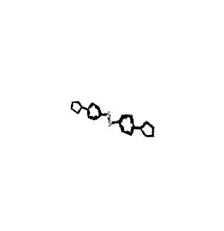 c1cc(C2CCCC2)ccc1SSc1ccc(C2CCCC2)cc1